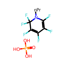 CCCN1C(F)=C(F)C(F)=C(F)C1(F)F.O=P(O)(O)O